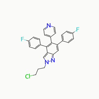 Fc1ccc(-c2cc3nn(CCCCl)cc3c(-c3ccc(F)cc3)c2-c2ccncc2)cc1